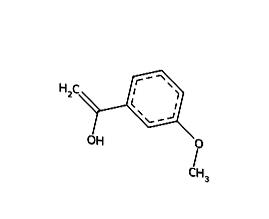 C=C(O)c1cccc(OC)c1